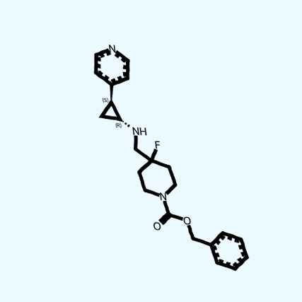 O=C(OCc1ccccc1)N1CCC(F)(CN[C@@H]2C[C@H]2c2ccncc2)CC1